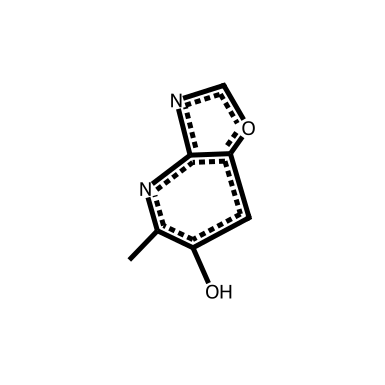 Cc1nc2ncoc2cc1O